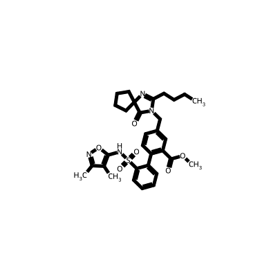 CCCCC1=NC2(CCCC2)C(=O)N1Cc1ccc(-c2ccccc2S(=O)(=O)Nc2onc(C)c2C)c(C(=O)OC)c1